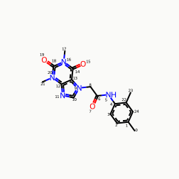 Cc1ccc(NC(=O)Cn2cnc3c2c(=O)n(C)c(=O)n3C)c(C)c1